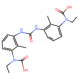 CCN(C(=O)O)c1cccc(NC(=O)Nc2cccc(N(CC)C(=O)O)c2C)c1C